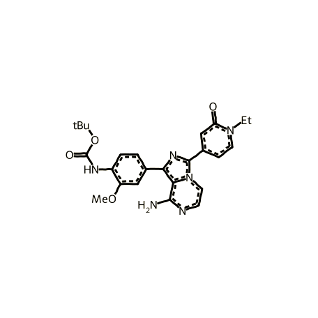 CCn1ccc(-c2nc(-c3ccc(NC(=O)OC(C)(C)C)c(OC)c3)c3c(N)nccn23)cc1=O